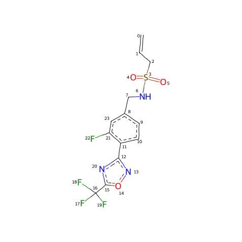 C=CCS(=O)(=O)NCc1ccc(-c2noc(C(F)(F)F)n2)c(F)c1